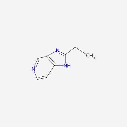 CCc1nc2cnccc2[nH]1